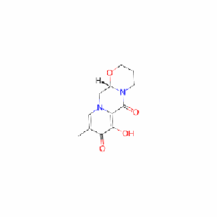 Cc1cn2c(c(O)c1=O)C(=O)N1CCCO[C@H]1C2